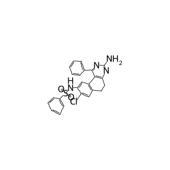 Nc1nc2c(c(-c3ccccc3)n1)-c1cc(NS(=O)(=O)c3ccccc3)c(Cl)cc1CC2